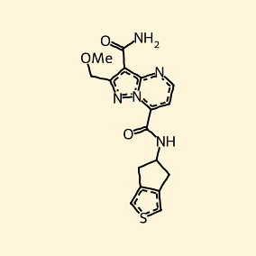 COCc1nn2c(C(=O)NC3Cc4cscc4C3)ccnc2c1C(N)=O